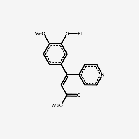 CCOc1cc(/C(=C/C(=O)OC)c2ccncc2)ccc1OC